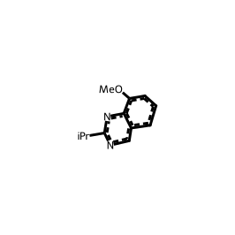 COc1cccc2cnc(C(C)C)nc12